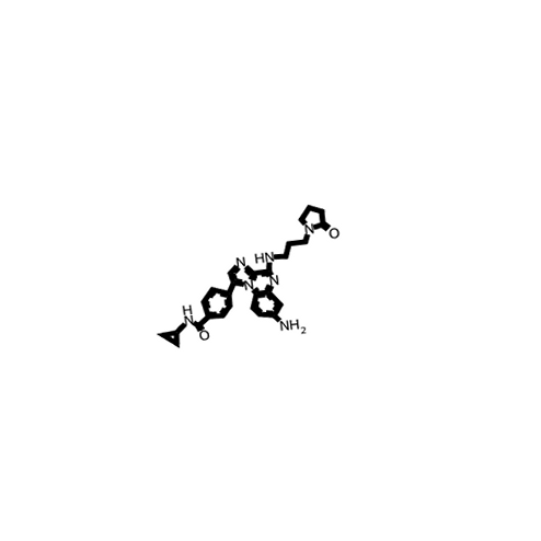 Nc1ccc2c(c1)nc(NCCCN1CCCC1=O)c1ncc(-c3ccc(C(=O)NC4CC4)cc3)n12